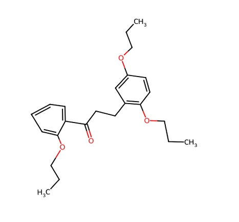 CCCOc1ccc(OCCC)c(CCC(=O)c2ccccc2OCCC)c1